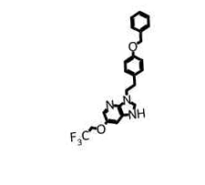 FC(F)(F)COc1cnc2c(c1)NCN2CCc1ccc(OCc2ccccc2)cc1